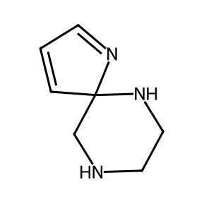 C1=CC2(CNCCN2)N=C1